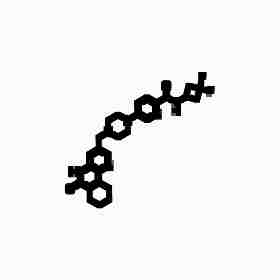 O=C(NC1CC(F)(F)C1)c1ccc(N2CCN(Cc3cnc4c5c(c(=O)[nH]c4c3)CCCC5)CC2)cn1